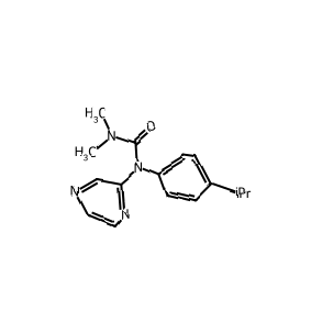 CC(C)c1ccc(N(C(=O)N(C)C)c2cnccn2)cc1